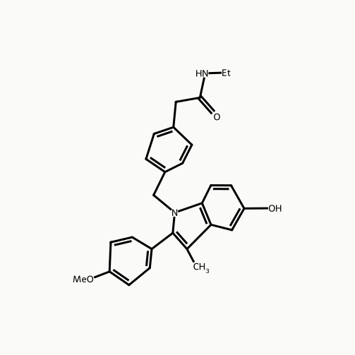 CCNC(=O)Cc1ccc(Cn2c(-c3ccc(OC)cc3)c(C)c3cc(O)ccc32)cc1